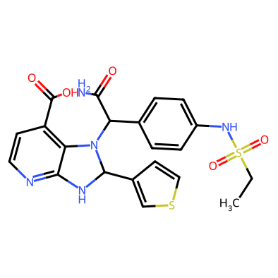 CCS(=O)(=O)Nc1ccc(C(C(N)=O)N2c3c(C(=O)O)ccnc3NC2c2ccsc2)cc1